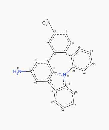 Nc1cc(-c2cccc([N+](=O)[O-])c2)c2c(c1)c1ccccc1n2-c1ccccc1